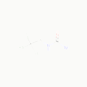 [NH]C(=O)NCC(Cl)(Cl)Cl